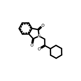 O=C(CN1C(=O)c2ccccc2C1=O)C1CCCCC1